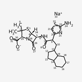 CC1(C)S[C@@H]2[C@@H](NC(=O)C(CC3CCC4CCCCC43)c3csc(N)n3)C(=O)N2[C@H]1C(=O)[O-].[Na+]